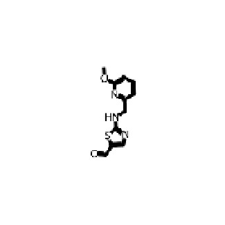 COc1cccc(CNc2ncc(C=O)s2)n1